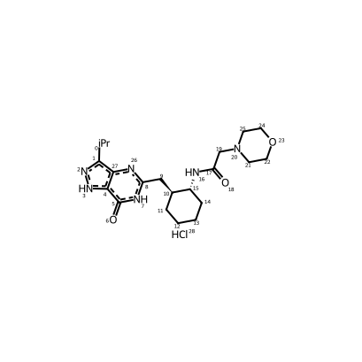 CC(C)c1n[nH]c2c(=O)[nH]c(C[C@@H]3CCCC[C@H]3NC(=O)CN3CCOCC3)nc12.Cl